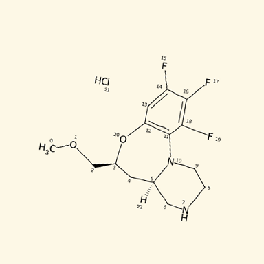 COC[C@@H]1C[C@@H]2CNCCN2c2c(cc(F)c(F)c2F)O1.Cl